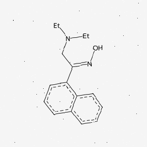 CCN(CC)CC(=NO)c1cccc2ccccc12